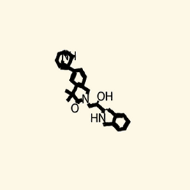 CC1(C)C(=O)N(C[C@@H](O)[C@@H]2Cc3ccccc3CN2)Cc2ccc(C3NC4CCC3CC4)cc21